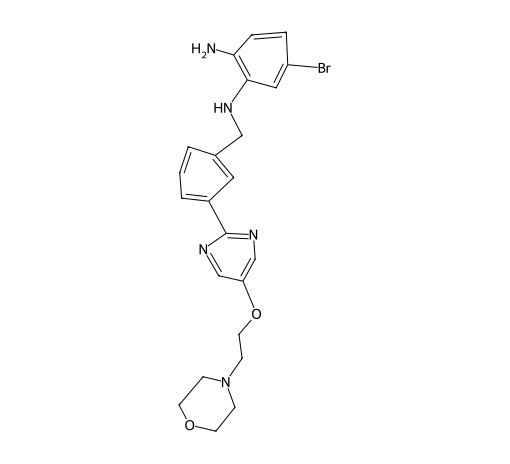 Nc1ccc(Br)cc1NCc1cccc(-c2ncc(OCCN3CCOCC3)cn2)c1